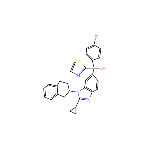 OC(c1ccc(Cl)cc1)(c1ccc2nc(C3CC3)n(C3CCc4ccccc4C3)c2c1)c1nccs1